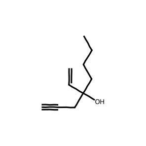 C#CCC(O)(C=C)CCCC